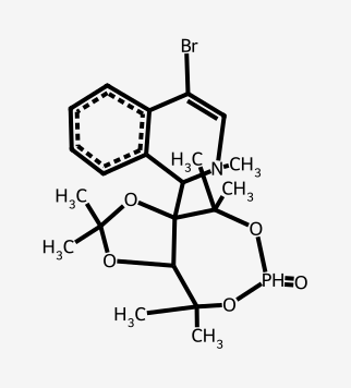 CN1C=C(Br)c2ccccc2C1C12OC(C)(C)OC1C(C)(C)O[PH](=O)OC2(C)C